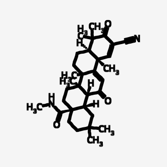 CNC(=O)[C@]12CCC(C)(C)C[C@H]1[C@H]1C(=O)C=C3[C@@]4(C)C=C(C#N)C(=O)C(C)(C)[C@@H]4CC[C@@]3(C)[C@]1(C)CC2